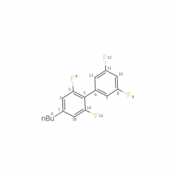 CCCCc1cc(F)c(-c2cc(F)cc(F)c2)c(F)c1